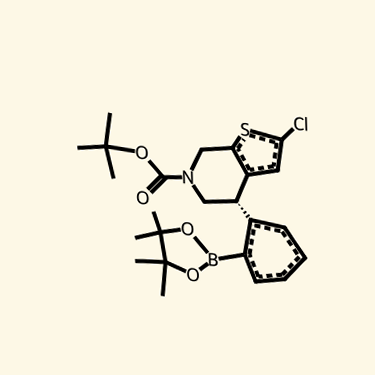 CC(C)(C)OC(=O)N1Cc2sc(Cl)cc2[C@H](c2ccccc2B2OC(C)(C)C(C)(C)O2)C1